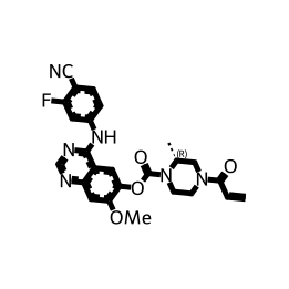 C=CC(=O)N1CCN(C(=O)Oc2cc3c(Nc4ccc(C#N)c(F)c4)ncnc3cc2OC)[C@H](C)C1